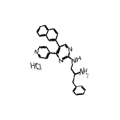 Cl.NC(CNc1ncc(-c2ccc3ccccc3c2)c(-c2ccncc2)n1)Cc1ccccc1